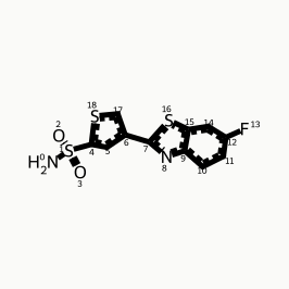 NS(=O)(=O)c1cc(-c2nc3ccc(F)cc3s2)cs1